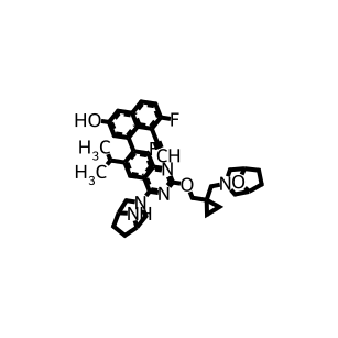 C#Cc1c(F)ccc2cc(O)cc(-c3c(C(C)C)cc4c(N5CC6CCC(C5)N6)nc(OCC5(CN6CC7CCC(C6)O7)CC5)nc4c3F)c12